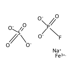 O=P([O-])([O-])F.O=S(=O)([O-])[O-].[Fe+3].[Na+]